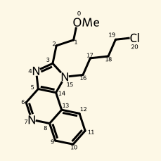 COCCc1nc2cnc3ccccc3c2n1CCCCCl